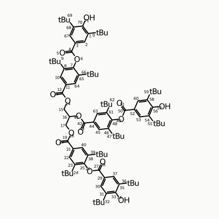 CC(C)(C)c1cc(C(=O)Oc2c(C(C)(C)C)cc(C(=O)OCC(COC(=O)c3cc(C(C)(C)C)c(OC(=O)c4cc(C(C)(C)C)c(O)c(C(C)(C)C)c4)c(C(C)(C)C)c3)OC(=O)c3cc(C(C)(C)C)c(OC(=O)c4cc(C(C)(C)C)c(O)c(C(C)(C)C)c4)c(C(C)(C)C)c3)cc2C(C)(C)C)cc(C(C)(C)C)c1O